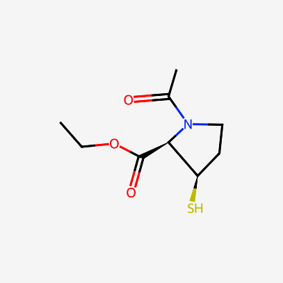 CCOC(=O)[C@@H]1[C@H](S)CCN1C(C)=O